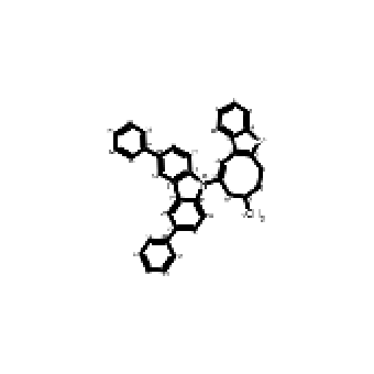 CC1CCc2sc3ccccc3c2/C=C(/n2c3ccc(-c4ccccc4)cc3c3cc(-c4ccccc4)ccc32)C1